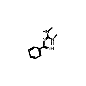 CNC(=NC(=N)c1ccccc1)NC